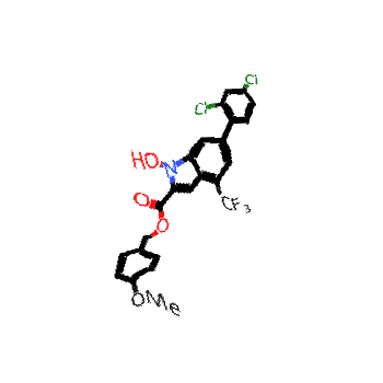 COc1ccc(COC(=O)c2cc3c(C(F)(F)F)cc(-c4ccc(Cl)cc4Cl)cc3n2O)cc1